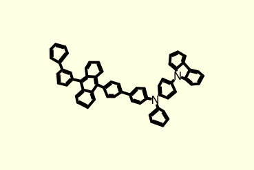 c1ccc(-c2cccc(-c3c4ccccc4c(-c4ccc(-c5ccc(N(c6ccccc6)c6ccc(-n7c8ccccc8c8ccccc87)cc6)cc5)cc4)c4ccccc34)c2)cc1